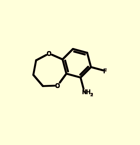 Nc1c(F)ccc2c1OCCCO2